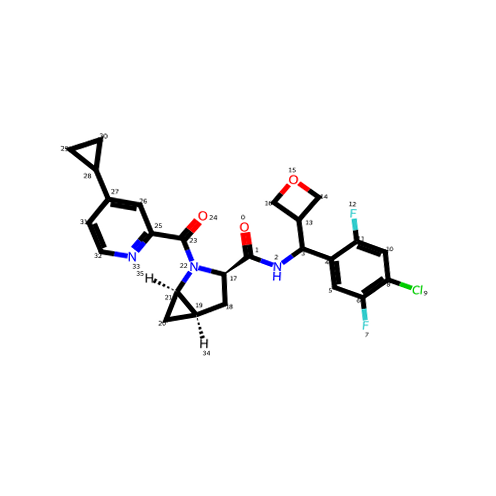 O=C(NC(c1cc(F)c(Cl)cc1F)C1COC1)[C@H]1C[C@H]2C[C@H]2N1C(=O)c1cc(C2CC2)ccn1